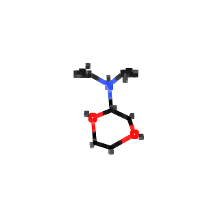 CCCCN(CCCC)C1COCCO1